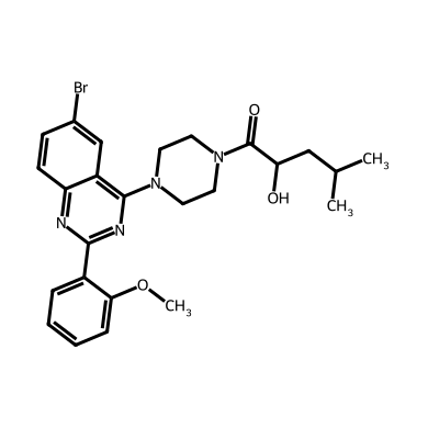 COc1ccccc1-c1nc(N2CCN(C(=O)C(O)CC(C)C)CC2)c2cc(Br)ccc2n1